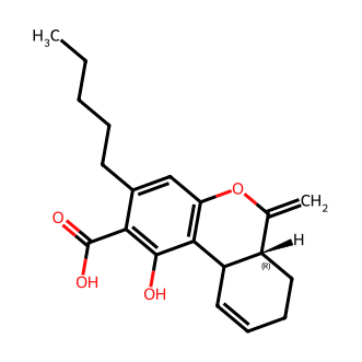 C=C1Oc2cc(CCCCC)c(C(=O)O)c(O)c2C2C=CCC[C@@H]12